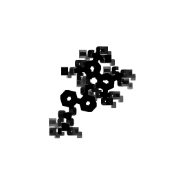 CC(C)(C)OC(=O)Oc1ccccc1-c1ccccc1Op1oc2c(C(C)(C)C)cc(C(C)(C)C)cc2c2cc(C(C)(C)C)cc(C(C)(C)C)c2o1